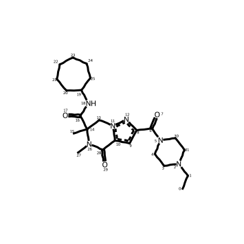 CCN1CCN(C(=O)c2cc3n(n2)CC(C)(C(=O)NC2CCCCCC2)N(C)C3=O)CC1